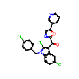 O=C(c1ncc(-c2cccnc2)o1)c1c(Cl)n(Cc2ccc(Cl)cc2)c2ccc(Cl)cc12